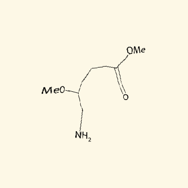 COC(=O)CC(CN)OC